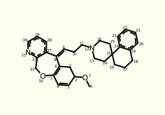 COC1C=CC2=C(C1)C(=CCCN1CCC3(CCCc4ccccc43)CC1)c1cccnc1CO2